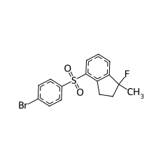 CC1(F)CCc2c1cccc2S(=O)(=O)c1ccc(Br)cc1